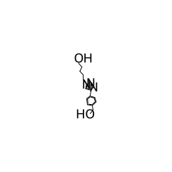 OCCCCCn1cc(-c2ccc(CO)cc2)nn1